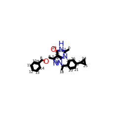 Cc1nc2c(c(COCc3ccccc3)nn2C(C)c2ccc(C3CC3)cc2)c(=O)[nH]1